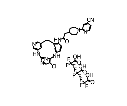 N#Cc1ccnc(N2CCC(CC(=O)Nc3ccc4cc3CCc3cncc(c3)Nc3ncc(Cl)c(n3)N4)CC2)c1.O=C(O)C(F)(F)F.O=C(O)C(F)(F)F.O=C(O)C(F)(F)F